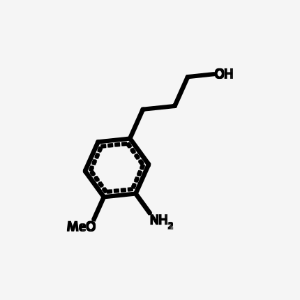 COc1ccc(CCCO)cc1N